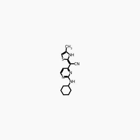 CC1=CS/C(=C(/C#N)c2ccnc(NC3CCCCC3)n2)N1